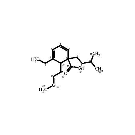 CCC1=CC=CC(CCC(C)C)(C(=O)O)C1CCOC